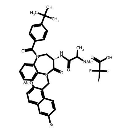 CNC(C)C(=O)N[C@H]1CN(C(=O)c2ccc(C(C)(C)O)cc2)c2ccccc2N(Cc2c(OC)ccc3cc(Br)ccc23)C1=O.O=C(O)C(F)(F)F